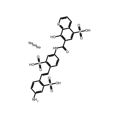 Nc1ccc(C=Cc2ccc(NC(=O)c3cc(S(=O)(=O)O)c4cccnc4c3O)cc2S(=O)(=O)O)c(S(=O)(=O)O)c1.[Na].[Na].[Na]